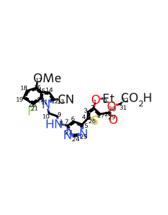 CCOc1cc(-c2cc(NCCn3c(C#N)cc4c(OC)ccc(F)c43)ncn2)sc1C(=O)OCC(=O)O